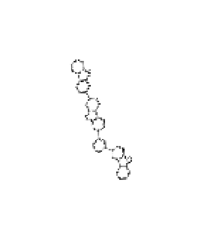 c1cc(-c2ccc3c(c2)sc2cc(-c4ccc5c(c4)sc4ccccc45)ccc23)cc(-c2ccc3oc4ccccc4c3c2)c1